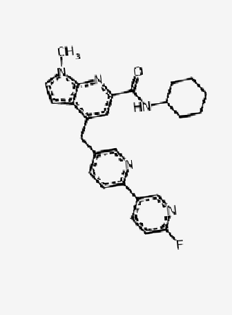 Cn1ccc2c(Cc3ccc(-c4ccc(F)nc4)nc3)cc(C(=O)NC3CCCCC3)nc21